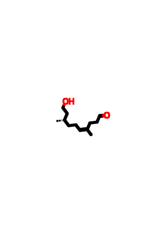 C/C(=C/CC[C@H](C)CCO)CCC=O